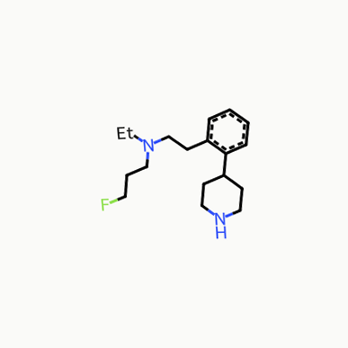 CCN(CCCF)CCc1ccccc1C1CCNCC1